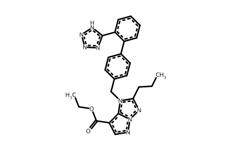 CCCc1nn2ncc(C(=O)OCC)c2n1Cc1ccc(-c2ccccc2-c2nnn[nH]2)cc1